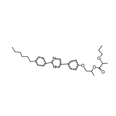 CCCCCCc1ccc(-c2ncc(-c3ccc(OCC(C)OC(=O)C(C)OCCC)cc3)cn2)cc1